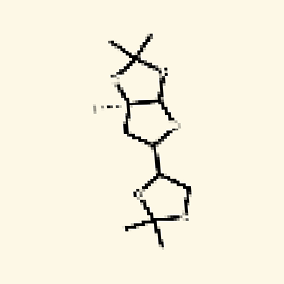 CC1(C)OCC(C2C[C@H]3OC(C)(C)OC3O2)O1